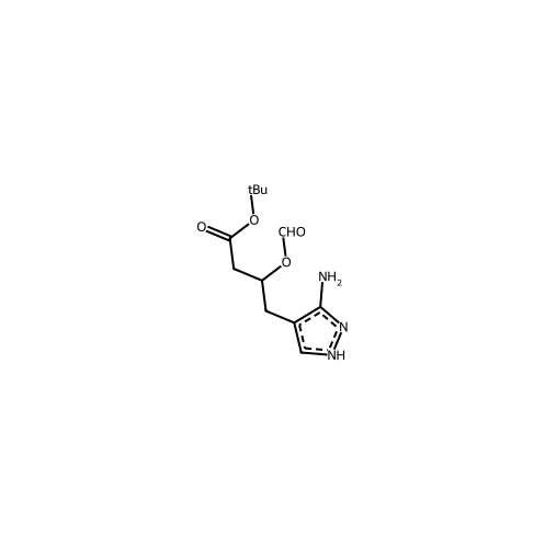 CC(C)(C)OC(=O)CC(Cc1c[nH]nc1N)OC=O